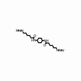 [N-]=[N+]=NCCCCCC(=O)NC1CCC(NC(=O)CCCCCN=[N+]=[N-])CC1